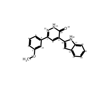 COc1cccc(-c2cc(-c3cc4ccccc4[nH]3)c(=O)[nH]n2)c1